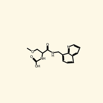 COCC(NC(=O)O)C(=O)NCc1cccc2cccnc12